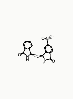 CN1C(=O)c2ccc([N+](=O)[O-])cc2C1=O.O=C1NC(=O)c2ccccc21